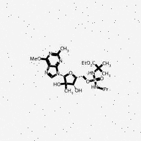 CCOC(=O)C(C)(C)NP(=O)(NC(C)C)OC[C@H]1O[C@@H](n2cnc3c(OC)nc(C)nc32)C(C)(O)[C@H]1O